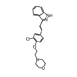 Clc1cc(C=Cc2n[nH]c3ccccc23)ccc1OCCN1CCOCC1